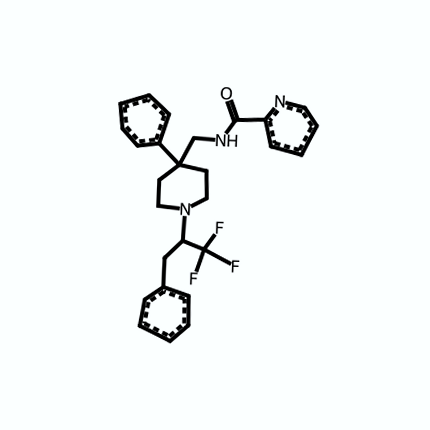 O=C(NCC1(c2ccccc2)CCN(C(Cc2ccccc2)C(F)(F)F)CC1)c1ccccn1